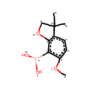 COc1ccc2c(c1B(O)O)OCC2(C)C